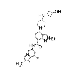 CCn1cc2c(N3CCC(N[C@H]4C[C@H](O)C4)CC3)ccc(C(=O)Nc3cc(F)c4nc(C)cn4c3)c2n1